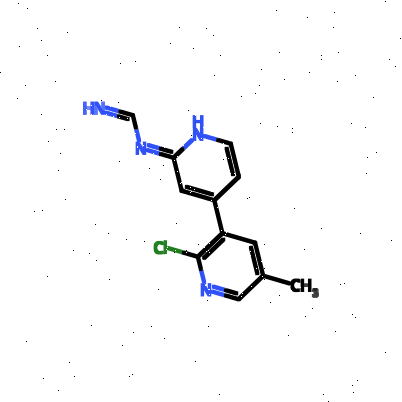 Cc1cnc(Cl)c(-c2cc[nH]/c(=N\C=N)c2)c1